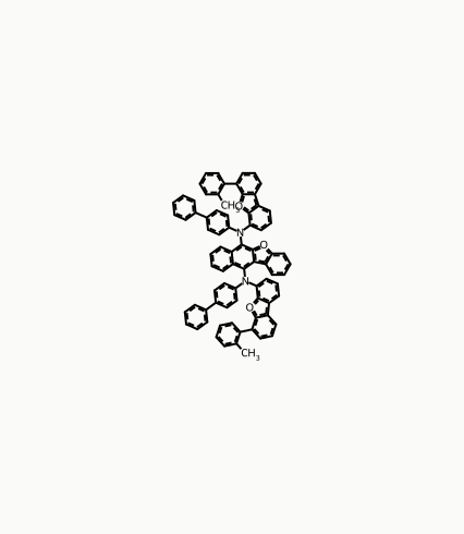 Cc1ccccc1-c1cccc2c1oc1c(N(c3ccc(-c4ccccc4)cc3)c3c4ccccc4c(N(c4ccc(-c5ccccc5)cc4)c4cccc5c4oc4c(-c6ccccc6C)cccc45)c4c3oc3ccccc34)cccc12